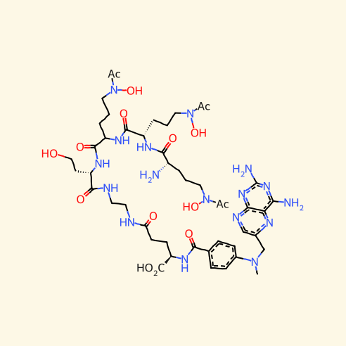 CC(=O)N(O)CCCC(NC(=O)[C@H](CCCN(O)C(C)=O)NC(=O)[C@@H](N)CCCN(O)C(C)=O)C(=O)N[C@@H](CCO)C(=O)NCCNC(=O)CC[C@@H](NC(=O)c1ccc(N(C)Cc2cnc3nc(N)nc(N)c3n2)cc1)C(=O)O